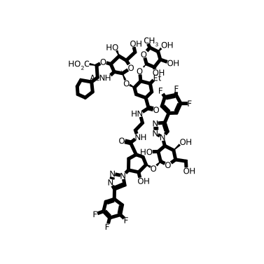 CCC1CC(C(=O)NCCNC(=O)C2CC(n3cc(-c4cc(F)c(F)c(F)c4)nn3)C(O)[C@H](O[C@@H]3OC(CO)[C@H](O)C(n4cc(-c5cc(F)c(F)c(F)c5)nn4)C3O)C2)C[C@@H](O[C@@H]2OC(CO)[C@H](O)C(O[C@@H](CC3CCCCC3)C(=O)O)C2NC(C)=O)C1O[C@@H]1OC(C)[C@@H](O)C(O)C1O